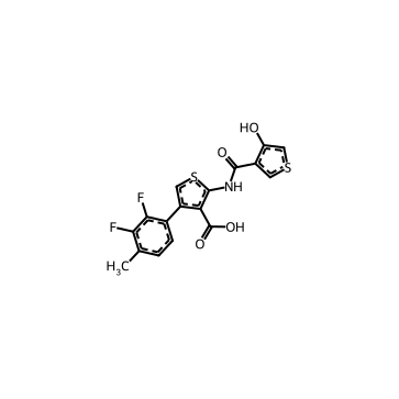 Cc1ccc(-c2csc(NC(=O)c3cscc3O)c2C(=O)O)c(F)c1F